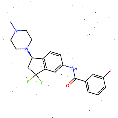 CN1CCN([C@@H]2CC(F)(F)c3cc(NC(=O)c4cccc(I)c4)ccc32)CC1